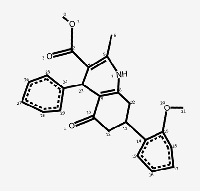 COC(=O)C1=C(C)NC2=C(C(=O)CC(c3ccccc3OC)C2)C1c1ccccc1